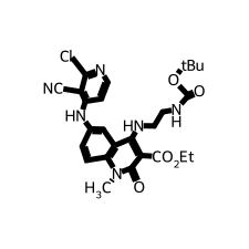 CCOC(=O)c1c(NCCNC(=O)OC(C)(C)C)c2cc(Nc3ccnc(Cl)c3C#N)ccc2n(C)c1=O